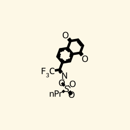 CCCS(=O)(=O)ON=C(c1ccc2c(c1)C(=O)C=CC2=O)C(F)(F)F